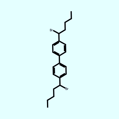 CCCCC(Br)c1ccc(-c2ccc(C(Br)CCCC)cc2)cc1